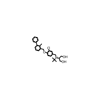 Cc1c(COc2ccc(CN(C(CO)CO)C(C)(C)C)cc2Cl)cccc1-c1ccccc1